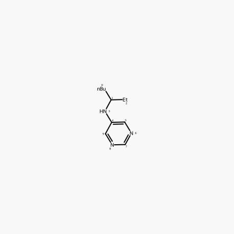 CCCCC(CC)Nc1cncnc1